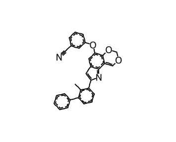 Cc1c(C2=Cc3cc(Oc4cccc(C#N)c4)c4c(c3=N2)=COCO4)cccc1-c1ccccc1